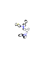 c1ccc(-c2ccc(N(c3ccc(-c4cccc(-n5c6ccccc6c6ccccc65)c4)c(-c4ccccc4)c3)c3ccc4c(c3)sc3ccccc34)cc2)cc1